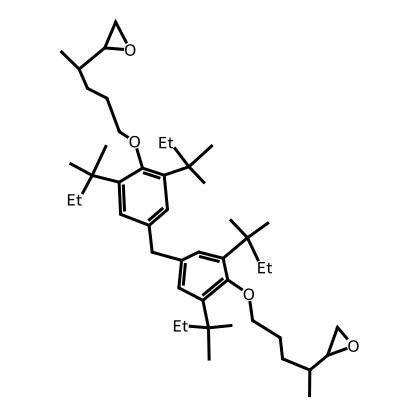 CCC(C)(C)c1cc(Cc2cc(C(C)(C)CC)c(OCCCC(C)C3CO3)c(C(C)(C)CC)c2)cc(C(C)(C)CC)c1OCCCC(C)C1CO1